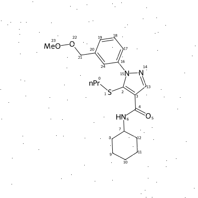 CCCSc1c(C(=O)NC2CCCCC2)cnn1-c1cccc(COOC)c1